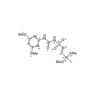 COc1cc(OC)nc(NC(=O)NS(=O)(=O)N=C[N+](C)(OC)SC)n1